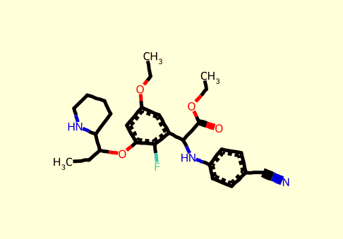 CCOC(=O)C(Nc1ccc(C#N)cc1)c1cc(OCC)cc(OC(CC)C2CCCCN2)c1F